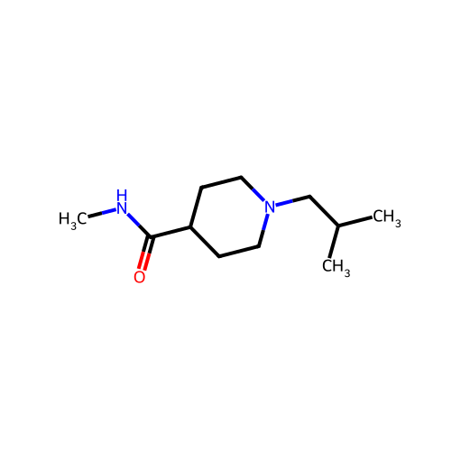 CNC(=O)C1CCN(CC(C)C)CC1